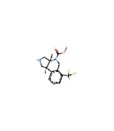 COC(=O)N1Cc2c(cccc2C(F)(F)F)[C@H]2CNC[C@@H]21